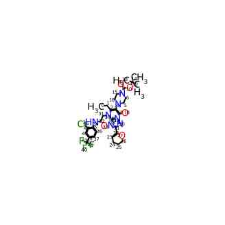 CCc1c(N2CCN(C(=O)OC(C)(C)C)CC2)c(=O)n2nc(C3=CCCCO3)nc2n1CC(=O)Nc1ccc(C(F)(F)F)cc1Cl